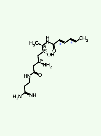 C/C=C/C=C/C(=O)N[C@H](C)[C@H](O)C[C@@H](N)CC(=O)NCCC(=N)N